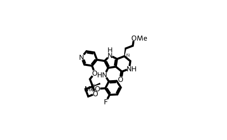 COCC[C@H]1CNC(=O)c2c1[nH]c(-c1ccncc1OC[C@@]1(C)CCO1)c2Nc1cccc(F)c1OC